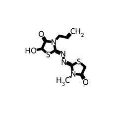 C=CCN1C(=O)C(O)SC1=NN=C1SCC(=O)N1C